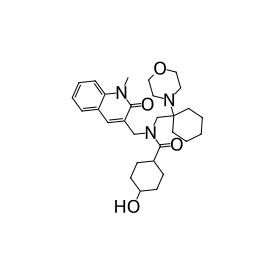 Cn1c(=O)c(CN(CC2(N3CCOCC3)CCCCC2)C(=O)C2CCC(O)CC2)cc2ccccc21